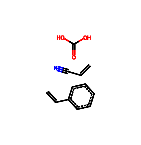 C=CC#N.C=Cc1ccccc1.O=C(O)O